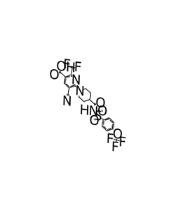 N#Cc1cc(C(=O)O)c(C(F)F)nc1N1CCC(C(=O)NS(=O)(=O)c2ccc(OC(F)(F)F)cc2)CC1